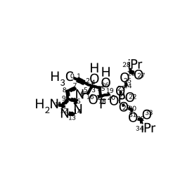 CC#C[C@]1(O)[C@H](n2ccc3c(N)ncnc32)O[C@](F)(COP(=O)(OCOC(=O)C(C)C)OCOC(=O)C(C)C)[C@H]1O